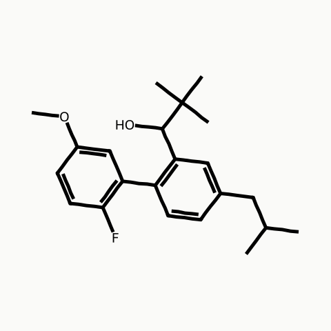 COc1ccc(F)c(-c2ccc(CC(C)C)cc2C(O)C(C)(C)C)c1